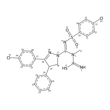 CN(C(=N)S)/C(=N\S(=O)(=O)c1ccc(Cl)cc1)N1CC(c2ccccc2)C(c2ccc(Cl)cc2)=N1